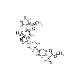 COC(=O)C1(c2ccc(N3CCC(c4onc(C)c4NC(=O)O[C@H](C)c4ccccc4)CC3)cc2)CC1